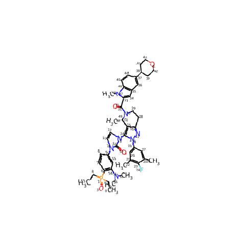 CCP(=O)(CC)c1ccc(-n2ccn(-c3c4c(nn3-c3cc(C)c(F)c(C)c3)CCN(C(=O)c3cc5cc(C6CCOCC6)ccc5n3C)[C@H]4C)c2=O)cc1N(C)C